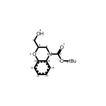 CC(C)(C)OC(=O)N1CC(CO)Oc2ccccc21